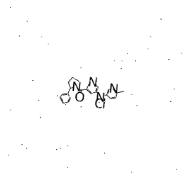 Cc1ccc(N(Cl)c2cncc(C(=O)N3CCCC3c3ccccc3)c2)cn1